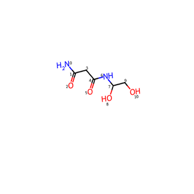 NC(=O)CC(=O)NC(O)CO